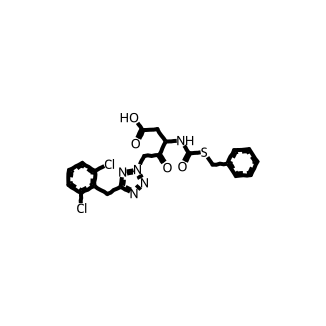 O=C(O)CC(NC(=O)SCc1ccccc1)C(=O)Cn1nnc(Cc2c(Cl)cccc2Cl)n1